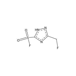 O=S(=O)(F)c1nc(CF)n[nH]1